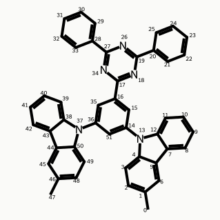 Cc1ccc2c(c1)c1ccccc1n2-c1cc(-c2nc(-c3ccccc3)nc(-c3ccccc3)n2)cc(-n2c3ccccc3c3cc(C)ccc32)c1